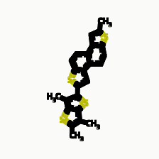 Cc1cc2c(ccc3c4cc(-c5sc6c(C)c(C)sc6c5C)sc4ccc23)s1